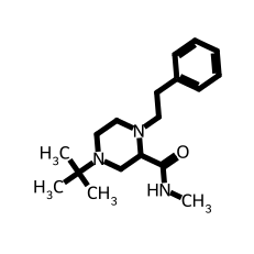 CNC(=O)C1CN(C(C)(C)C)CCN1CCc1ccccc1